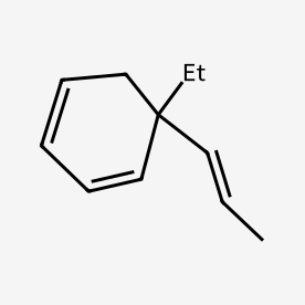 CC=CC1(CC)C=CC=CC1